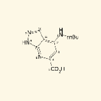 CCCCNc1cc(C(=O)O)nc2[nH]ncc12